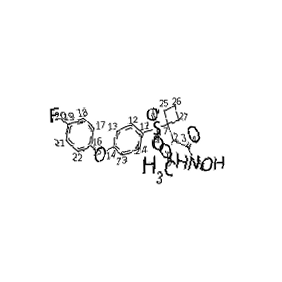 COC(C(=O)NO)C1(S(=O)(=O)c2ccc(Oc3ccc(F)cc3)cc2)CCC1